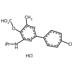 Cc1nc(-c2ccc(Cl)cc2)nc(NC(C)C)c1OC(=O)O.Cl